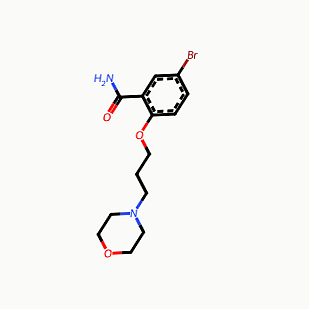 NC(=O)c1cc(Br)ccc1OCCCN1CCOCC1